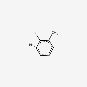 B.Cc1ccccc1F